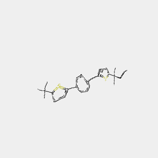 CCC(C)(C)c1ccc(-c2ccc(-c3ccc(C(C)(C)C)s3)cc2)s1